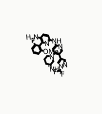 COc1cccc(F)c1-c1nc(Nc2cc(N3CCC[C@H](N)C3)c(-c3cnn(C(F)F)c3)cn2)ccc1N